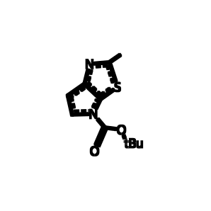 Cc1nc2ccn(C(=O)OC(C)(C)C)c2s1